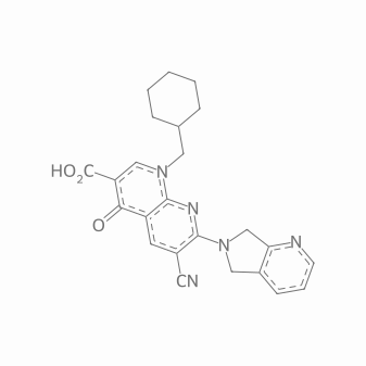 N#Cc1cc2c(=O)c(C(=O)O)cn(CC3CCCCC3)c2nc1N1Cc2cccnc2C1